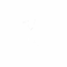 CC(C)OCC(C)(C)CC/C=C/C(F)(F)C(C)(C)C